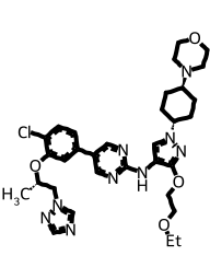 CCOCCOc1nn([C@H]2CC[C@H](N3CCOCC3)CC2)cc1Nc1ncc(-c2ccc(Cl)c(O[C@@H](C)Cn3cncn3)c2)cn1